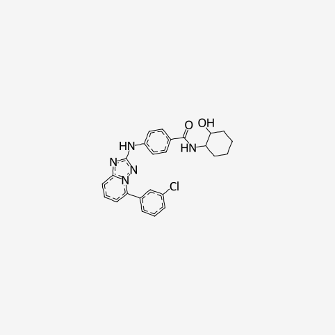 O=C(NC1CCCCC1O)c1ccc(Nc2nc3cccc(-c4cccc(Cl)c4)n3n2)cc1